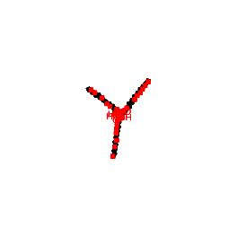 CCCCCCCCCCCCCCCCCC(=O)OCC(O)(OC(=O)CCCCCCCCCCCCCCCCC)C(O)(O)OC(=O)CCCCCCCCCCCCCCCCC